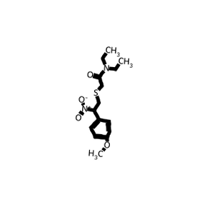 CCN(CC)C(=O)CSCC(c1ccc(OC)cc1)[N+](=O)[O-]